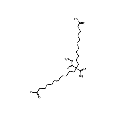 NOC(=O)C(CCCCCCCCCCC(=O)O)(CCCCCCCCCCC(=O)O)C(=O)O